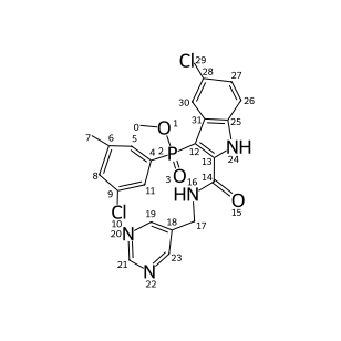 COP(=O)(c1cc(C)cc(Cl)c1)c1c(C(=O)NCc2cncnc2)[nH]c2ccc(Cl)cc12